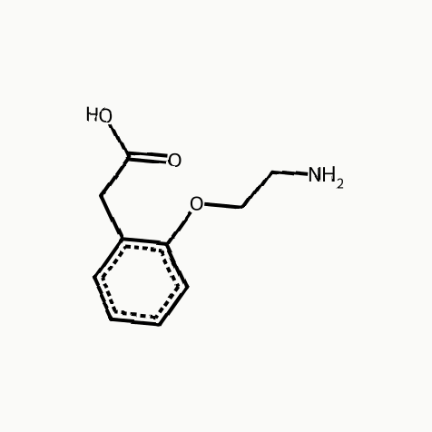 NCCOc1ccccc1CC(=O)O